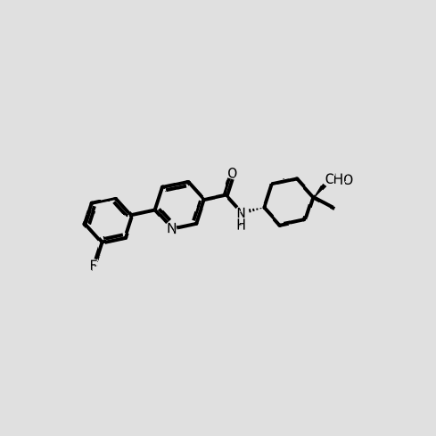 C[C@]1(C=O)CC[C@H](NC(=O)c2ccc(-c3cccc(F)c3)nc2)CC1